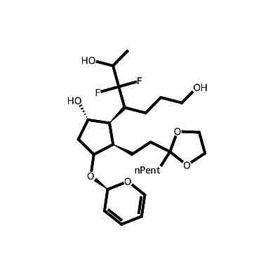 CCCCCC1(CC[C@H]2C(O[C@@H]3C=CC=CO3)C[C@H](O)[C@H]2C(CCCO)C(F)(F)C(C)O)OCCO1